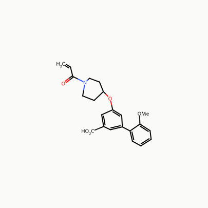 C=CC(=O)N1CCC(Oc2cc(C(=O)O)cc(-c3ccccc3OC)c2)CC1